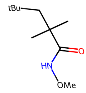 CONC(=O)C(C)(C)CC(C)(C)C